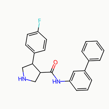 O=C(Nc1cccc(-c2ccccc2)c1)C1CNCC1c1ccc(F)cc1